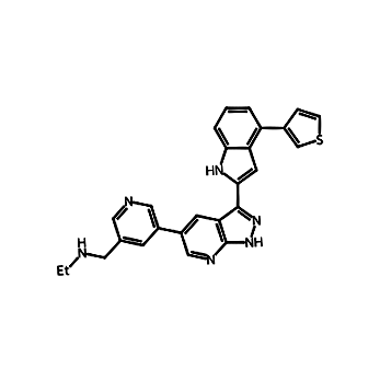 CCNCc1cncc(-c2cnc3[nH]nc(-c4cc5c(-c6ccsc6)cccc5[nH]4)c3c2)c1